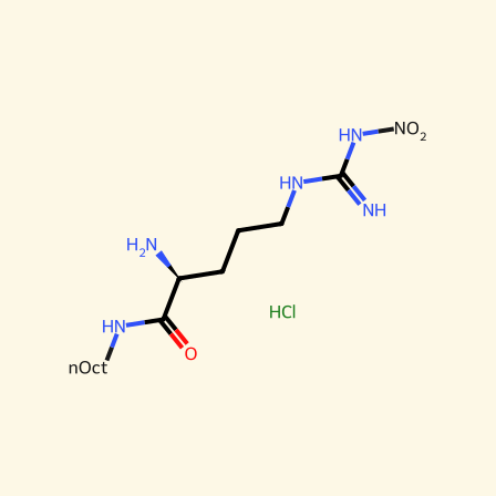 CCCCCCCCNC(=O)[C@@H](N)CCCNC(=N)N[N+](=O)[O-].Cl